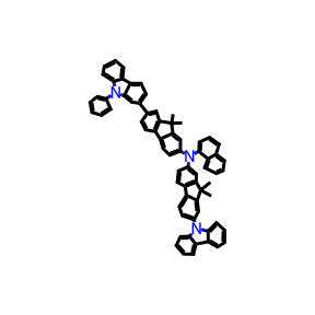 CC1(C)c2cc(-c3ccc4c5ccccc5n(-c5ccccc5)c4c3)ccc2-c2ccc(N(c3ccc4c(c3)C(C)(C)c3cc(-n5c6ccccc6c6ccccc65)ccc3-4)c3cccc4ccccc34)cc21